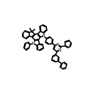 CC1(C)c2ccccc2-c2c1c1c3ccccc3n(-c3ccc(-c4cc(-c5cccc(-c6ccccc6)c5)nc(-c5ccccc5)n4)cc3)c1c1c3ccccc3n(-c3ccccc3)c21